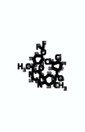 CC(c1ccc(OC(F)F)cc1)n1ncn2nc3c(c2c1=O)CN(C(=O)c1ccc(Cl)c(Cl)c1)[C@H](C)C3